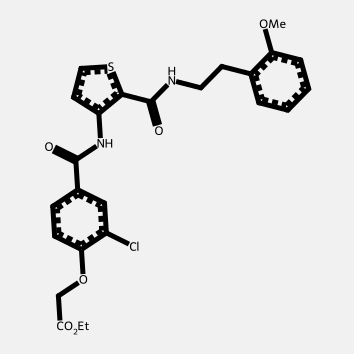 CCOC(=O)COc1ccc(C(=O)Nc2ccsc2C(=O)NCCc2ccccc2OC)cc1Cl